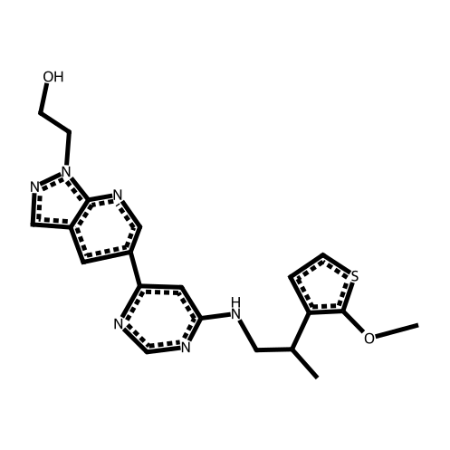 COc1sccc1C(C)CNc1cc(-c2cnc3c(cnn3CCO)c2)ncn1